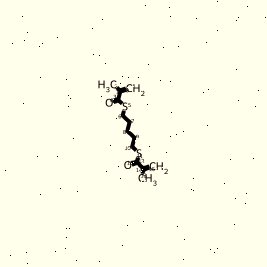 C=C(C)C(=O)SCCCCCSC(=O)C(=C)C